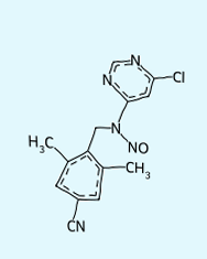 Cc1cc(C#N)cc(C)c1CN(N=O)c1cc(Cl)ncn1